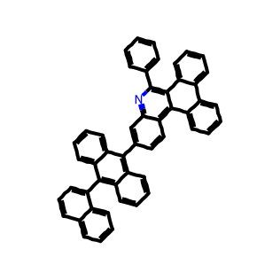 c1ccc(-c2nc3cc(-c4c5ccccc5c(-c5cccc6ccccc56)c5ccccc45)ccc3c3c4ccccc4c4ccccc4c23)cc1